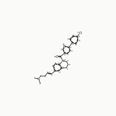 CN(C)CC/C=C/c1ccc2c(c1)CCCN2C(=O)c1ccc(-c2ccc(Cl)cc2)nc1